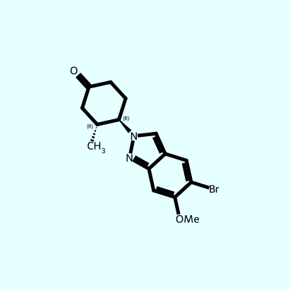 COc1cc2nn([C@@H]3CCC(=O)C[C@H]3C)cc2cc1Br